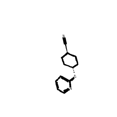 N#C[C@H]1CC[C@H](Oc2ccccn2)CC1